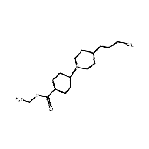 CCCCC1CCN(C2CCC(C(=O)OCC)CC2)CC1